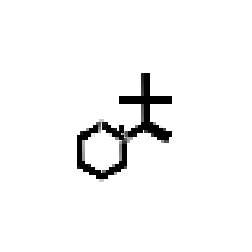 C=C([SiH]1CCCCO1)C(C)(C)C